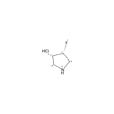 Cl.F[C@H]1CCNC1